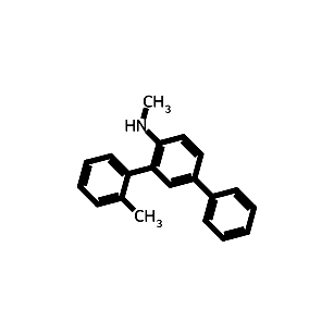 CNc1ccc(-c2ccccc2)cc1-c1ccccc1C